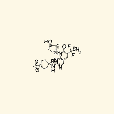 BC1(Nc2ncc3cc(C(B)(F)F)c(=O)n([C@H]4CC[C@H](O)[C@H]4C)c3n2)CCN(S(C)(=O)=O)CC1